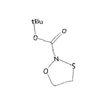 CC(C)(C)OC(=O)N1OCCS1